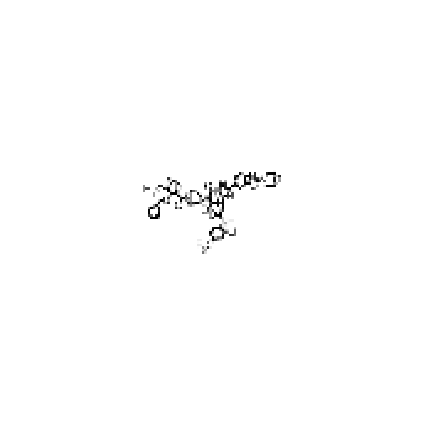 CCc1c(N2CCN(C(=O)c3ncnc(C)c3OCc3ccccc3)CC2)c(=O)n2nc(-c3ccc4nc(N5CCOCC5)oc4c3)nc2n1CC(=O)Nc1ccc(C(F)(F)F)cc1Cl